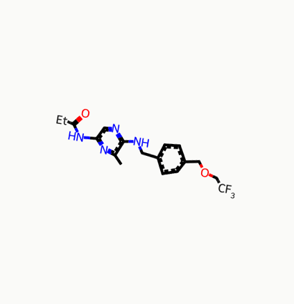 CCC(=O)Nc1cnc(NCc2ccc(COCC(F)(F)F)cc2)c(C)n1